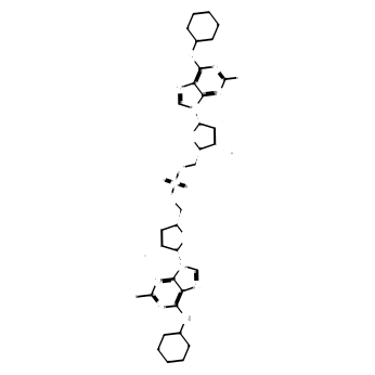 O=S(=O)(OC[C@H]1O[C@@H](n2cnc3c(NC4CCCCC4)nc(Cl)nc32)[C@H](O)[C@@H]1O)OC[C@H]1O[C@@H](n2cnc3c(NC4CCCCC4)nc(Cl)nc32)[C@H](O)[C@@H]1O